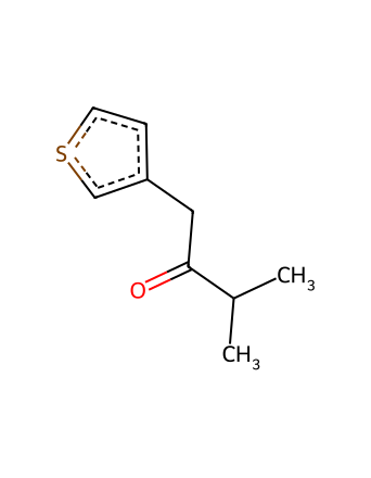 CC(C)C(=O)Cc1ccsc1